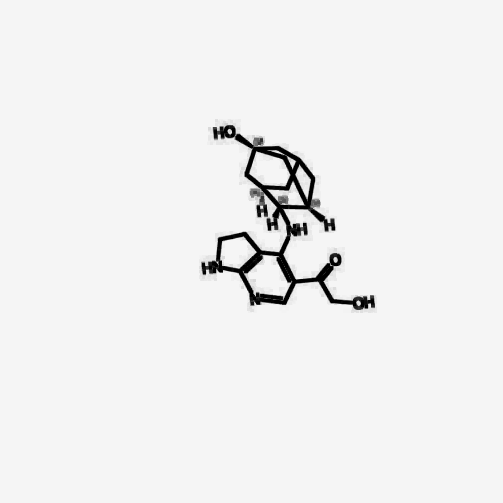 O=C(CO)c1cnc2c(c1N[C@@H]1[C@@H]3CC4C[C@H]1C[C@@](O)(C4)C3)CCN2